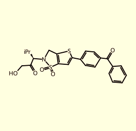 CC(C)[C@H](C(=O)CO)N1Cc2sc(-c3ccc(C(=O)c4ccccc4)cc3)cc2S1(=O)=O